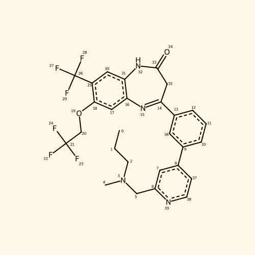 CCCN(C)Cc1cc(-c2cccc(C3=Nc4cc(OCC(F)(F)F)c(C(F)(F)F)cc4NC(=O)C3)c2)ccn1